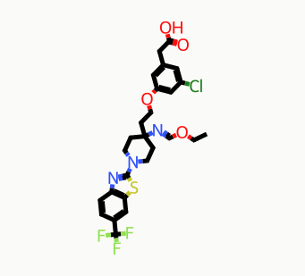 CCOC=NC1(CCOc2cc(Cl)cc(CC(=O)O)c2)CCN(c2nc3ccc(C(F)(F)F)cc3s2)CC1